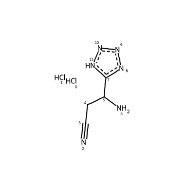 Cl.Cl.N#CCC(N)c1nnn[nH]1